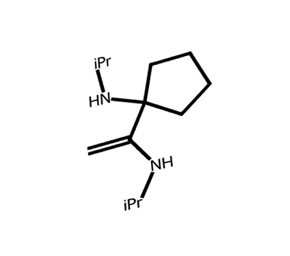 C=C(NC(C)C)C1(NC(C)C)CCCC1